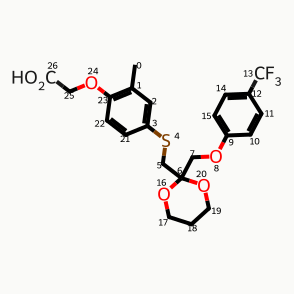 Cc1cc(SCC2(COc3ccc(C(F)(F)F)cc3)OCCCO2)ccc1OCC(=O)O